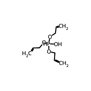 C=CCO[PH](O)(OCC=C)OCC=C